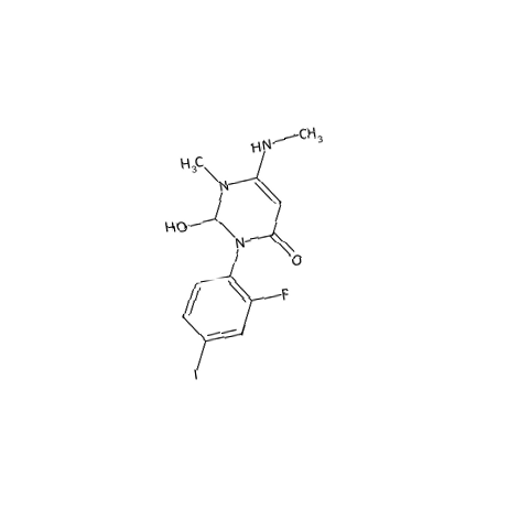 CNC1=CC(=O)N(c2ccc(I)cc2F)C(O)N1C